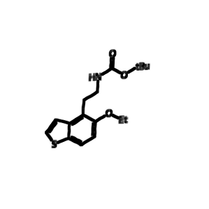 CCOc1ccc2sccc2c1CCNC(=O)OC(C)(C)C